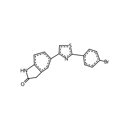 O=C1Cc2cc(-c3csc(-c4ccc(Br)cc4)n3)ccc2N1